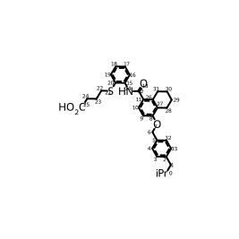 CC(C)Cc1ccc(COc2ccc(C(=O)Nc3ccccc3SCCCC(=O)O)c3c2CCCC3)cc1